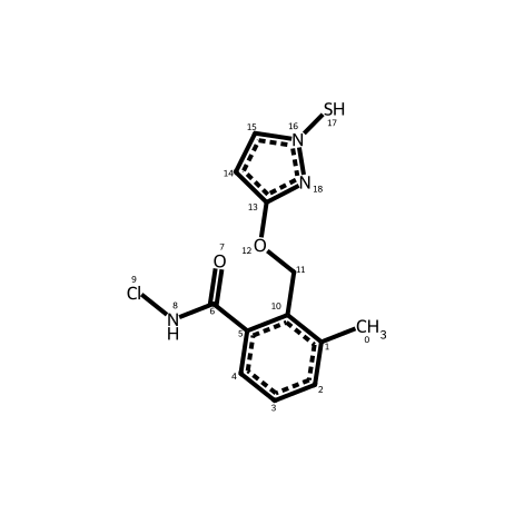 Cc1cccc(C(=O)NCl)c1COc1ccn(S)n1